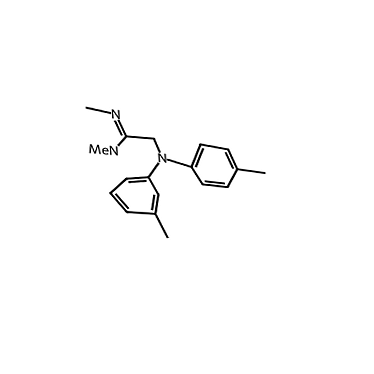 C/N=C(/CN(c1ccc(C)cc1)c1cccc(C)c1)NC